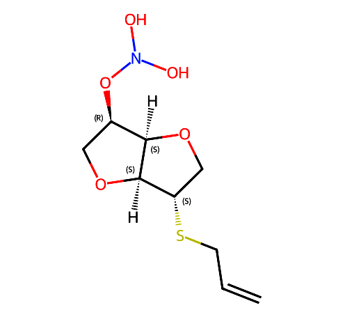 C=CCS[C@H]1CO[C@H]2[C@@H]1OC[C@H]2ON(O)O